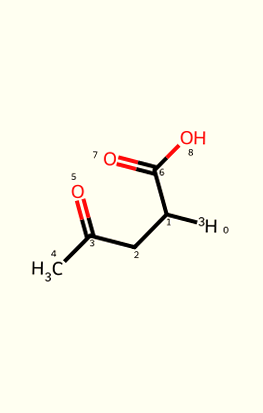 [3H]C(CC(C)=O)C(=O)O